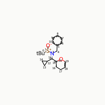 CC(C)(C)[S+]([O-])N(Cc1ccccc1)[C@@H](C1CC1)[C@@H]1CCC=CO1